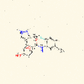 Cn1cc(C2C3OC(CC3O)C2C(=O)Nc2cc(C(F)(F)F)ccc2F)c(C(F)(F)F)n1